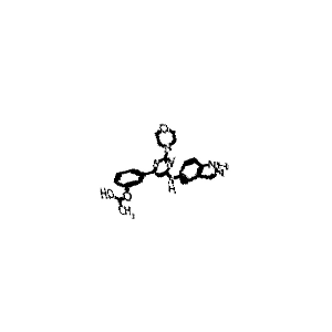 CC(O)Oc1cccc(-c2cc(Nc3ccc4[nH]ncc4c3)nc(N3CCOCC3)n2)c1